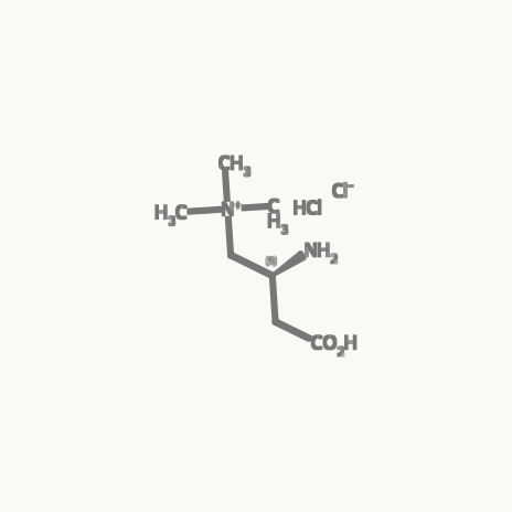 C[N+](C)(C)C[C@@H](N)CC(=O)O.Cl.[Cl-]